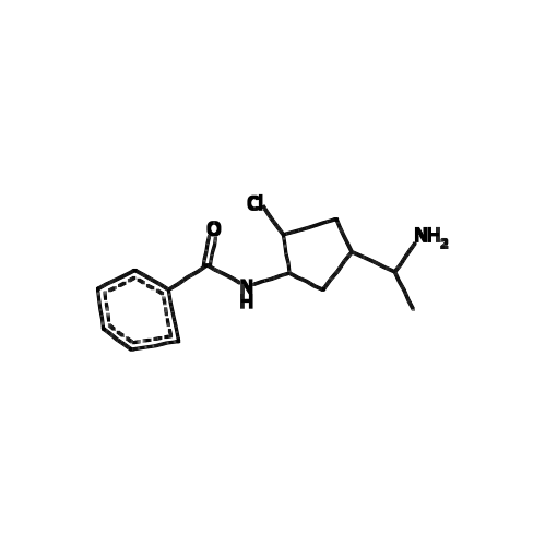 CC(N)C1CC(Cl)C(NC(=O)c2ccccc2)C1